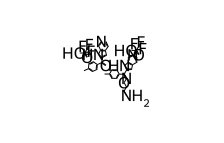 Cc1ccc(C(=NOCCN)c2cc3ccncc3[nH]2)cc1.Cc1ccc(C(=O)c2cc3ccncc3[nH]2)cc1.O=C(O)C(F)(F)F.O=C(O)C(F)(F)F